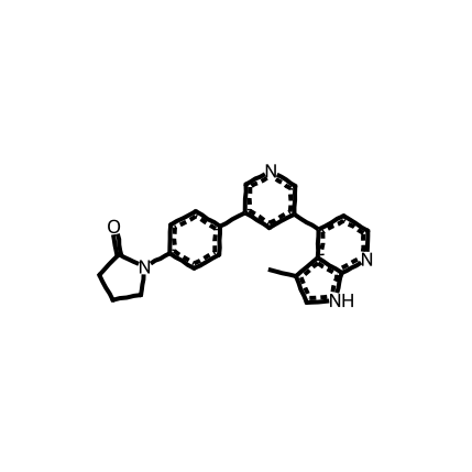 Cc1c[nH]c2nccc(-c3cncc(-c4ccc(N5CCCC5=O)cc4)c3)c12